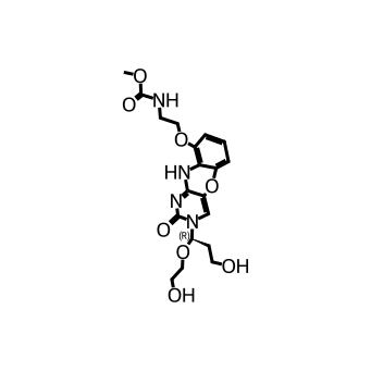 COC(=O)NCCOc1cccc2c1Nc1nc(=O)n([C@@H](CCO)OCCO)cc1O2